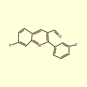 O=Cc1cc2ccc(F)cc2nc1-c1cccc(F)c1